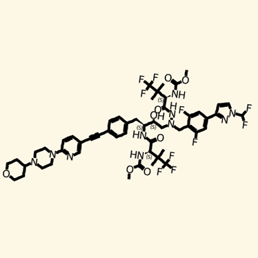 COC(=O)N[C@H](C(=O)N[C@@H](Cc1ccc(C#Cc2ccc(N3CCN(C4CCOCC4)CC3)nc2)cc1)[C@@H](O)CN(Cc1c(F)cc(-c2ccn(C(F)F)n2)cc1F)NC(=O)[C@@H](NC(=O)OC)C(C)(C)C(F)(F)F)C(C)(C)C(F)(F)F